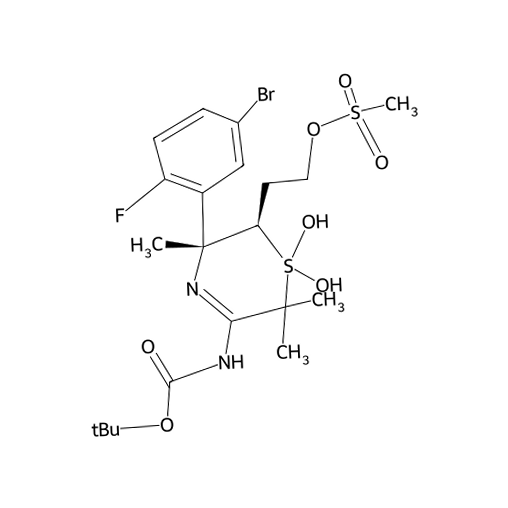 CC(C)(C)OC(=O)NC1=N[C@](C)(c2cc(Br)ccc2F)[C@@H](CCOS(C)(=O)=O)S(O)(O)C1(C)C